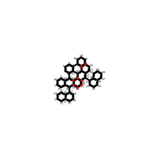 c1ccc(-c2cccc(-c3c4ccccc4c(-c4cccc5ccccc45)c4ccccc34)c2-c2c3ccccc3c(-c3cccc4ccccc34)c3ccccc23)cc1